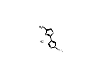 Cl.Cn1cc(-c2nc(N)cs2)cn1